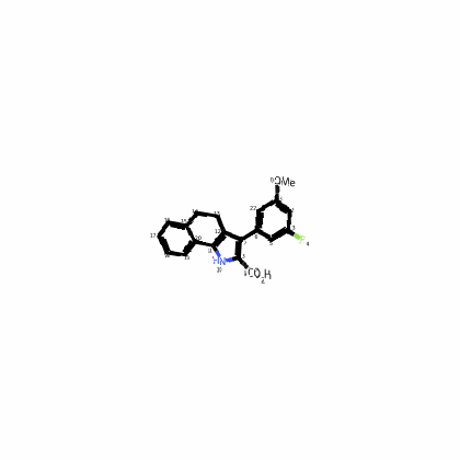 COc1cc(F)cc(-c2c(C(=O)O)[nH]c3c2CCc2ccccc2-3)c1